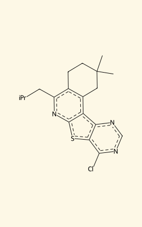 CC(C)Cc1nc2sc3c(Cl)ncnc3c2c2c1CCC(C)(C)C2